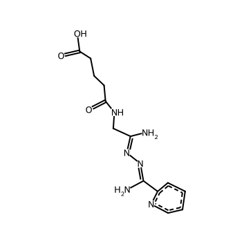 N/C(CNC(=O)CCCC(=O)O)=N\N=C(/N)c1ccccn1